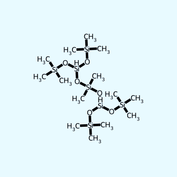 C[Si](C)(C)O[SiH](O[Si](C)(C)C)O[Si](C)(C)O[SiH](O[Si](C)(C)C)O[Si](C)(C)C